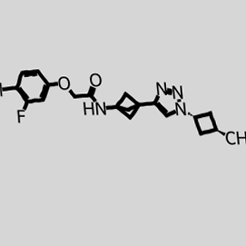 C[C@H]1C[C@H](n2cc(C34CC(NC(=O)COc5ccc(Cl)c(F)c5)(C3)C4)nn2)C1